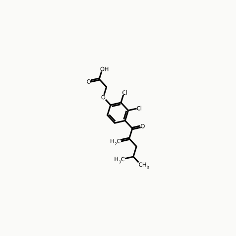 C=C(CC(C)C)C(=O)c1ccc(OCC(=O)O)c(Cl)c1Cl